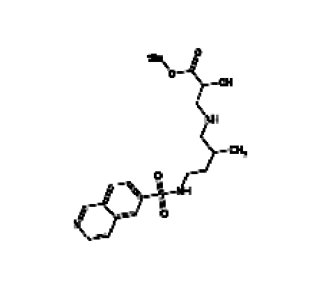 CC(CCNS(=O)(=O)c1ccc2cnccc2c1)CNCC(O)C(=O)OC(C)(C)C